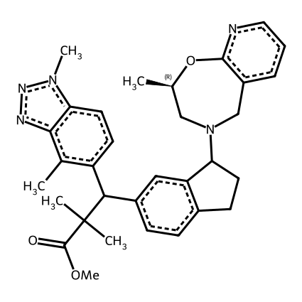 COC(=O)C(C)(C)C(c1ccc2c(c1)C(N1Cc3cccnc3O[C@H](C)C1)CC2)c1ccc2c(nnn2C)c1C